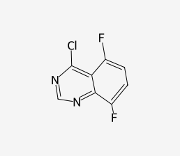 Fc1ccc(F)c2c(Cl)ncnc12